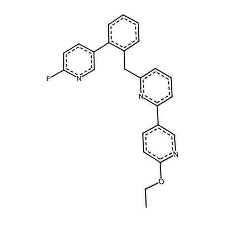 CCOc1ccc(-c2cccc(Cc3ccccc3-c3ccc(F)nc3)n2)cn1